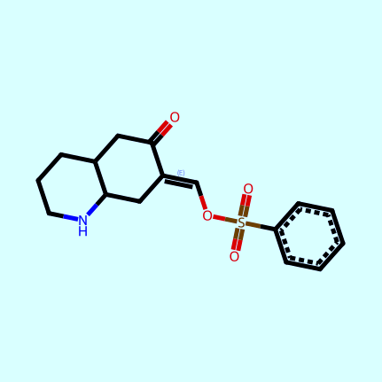 O=C1CC2CCCNC2C/C1=C\OS(=O)(=O)c1ccccc1